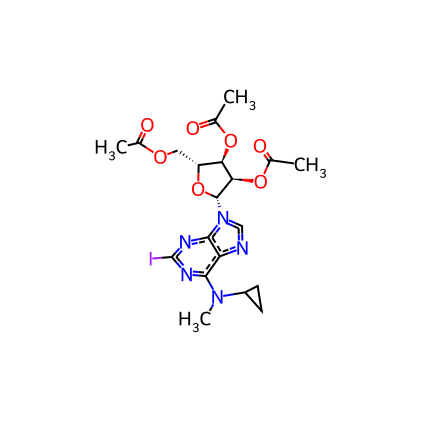 CC(=O)OC[C@H]1O[C@@H](n2cnc3c(N(C)C4CC4)nc(I)nc32)[C@H](OC(C)=O)[C@@H]1OC(C)=O